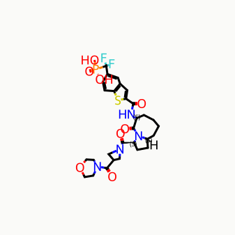 O=C(N[C@H]1CCCC[C@H]2CC[C@@H](C(=O)N3CC(C(=O)N4CCOCC4)C3)N2C1=O)c1cc2cc(C(F)(F)P(=O)(O)O)ccc2s1